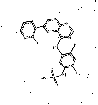 CCCS(=O)(=O)Nc1cc(Nc2ncnc3ccc(-c4cccnc4F)cc23)c(F)cc1F